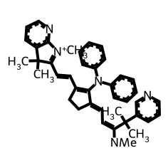 CN/C(=C/C=C1\CCC(/C=C/C2=[N+](C)c3ncccc3C2(C)C)=C1N(c1ccccc1)c1ccccc1)C(C)(C)c1cccnc1